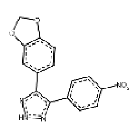 O=[N+]([O-])c1ccc(-c2n[nH]nc2-c2ccc3c(c2)OCO3)cc1